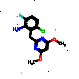 COc1cc(OC)nc(Cc2c(Cl)ccc(F)c2N)n1